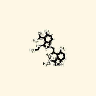 CCNc1nn(CC(C)c2c(C)ccc3[nH]nc(N(C)C)c23)c2ccc(C)c(C(C)C)c12